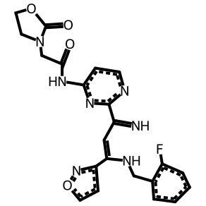 N=C(/C=C(\NCc1ccccc1F)c1ccon1)c1nccc(NC(=O)CN2CCOC2=O)n1